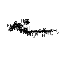 CCc1c2c(nc3ccccc13)-c1cc3c(c(=O)n1C2)COC(=O)[C@@]3(CC)OC(=O)[C@@H](NC(=O)[C@@H]1CCCN1C(=O)[C@H](CC(=O)O)NC(=O)CCOCCOCCOCCNC(=O)[C@@H](N)CCCCN)C(C)C.O=C(O)C(F)(F)F